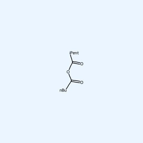 CCCCC(=O)OC(=O)C(C)CCC